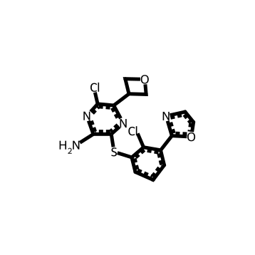 Nc1nc(Cl)c(C2COC2)nc1Sc1cccc(-c2ncco2)c1Cl